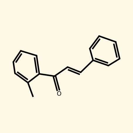 Cc1ccccc1C(=O)C=Cc1ccccc1